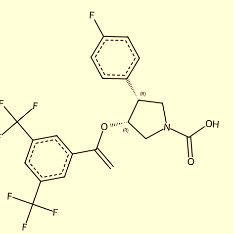 C=C(O[C@H]1CN(C(=O)O)C[C@H]1c1ccc(F)cc1)c1cc(C(F)(F)F)cc(C(F)(F)F)c1